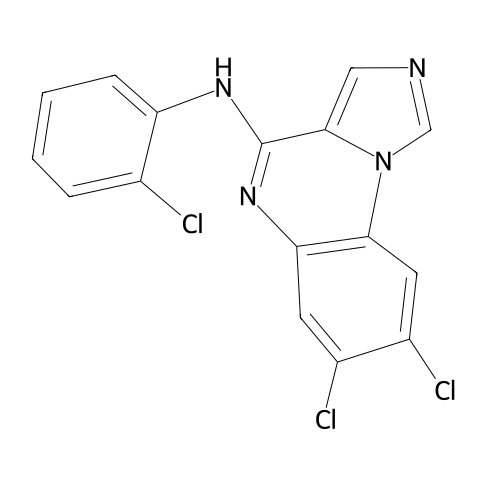 Clc1cc2nc(Nc3ccccc3Cl)c3cncn3c2cc1Cl